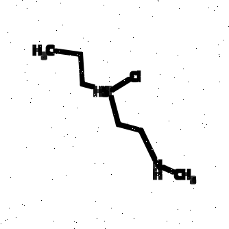 CCC[SiH](Cl)CCNC